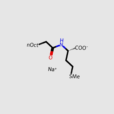 CCCCCCCCCC(=O)N[C@@H](CCSC)C(=O)[O-].[Na+]